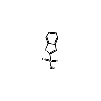 CC(C)(C)S(=O)(=O)c1cc2ccccc2s1